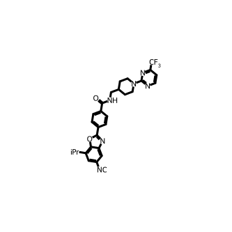 [C-]#[N+]c1cc(C(C)C)c2oc(-c3ccc(C(=O)NCC4CCN(c5nccc(C(F)(F)F)n5)CC4)cc3)nc2c1